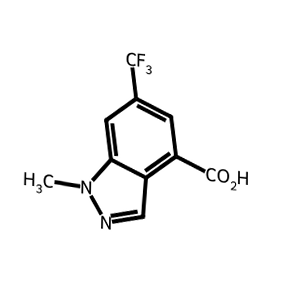 Cn1ncc2c(C(=O)O)cc(C(F)(F)F)cc21